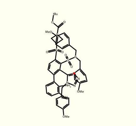 COc1ccc(CN(Cc2ccc(OC)cc2)S(=O)(=O)c2c(S(=O)(=O)C3CN(C(=O)OC(C)(C)C)C3)ccc(-c3cccc(N)c3N)c2-c2nnnn2Cc2ccc(OC)cc2)cc1